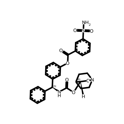 NS(=O)(=O)c1cccc(C(=O)Oc2cccc([C@@H](NC(=O)O[C@H]3CN4CCC3CC4)c3ccccc3)c2)c1